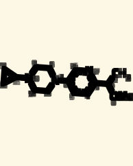 COC(C)c1ccc(N2CCN(C3CC3)CC2)cn1